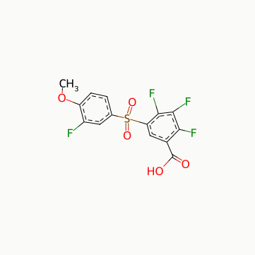 COc1ccc(S(=O)(=O)c2cc(C(=O)O)c(F)c(F)c2F)cc1F